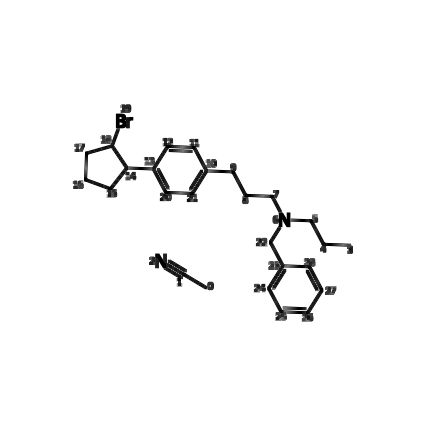 CC#N.CCCN(CCCc1ccc(C2CCCC2Br)cc1)Cc1ccccc1